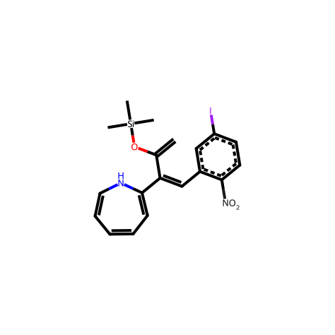 C=C(O[Si](C)(C)C)C(=Cc1cc(I)ccc1[N+](=O)[O-])C1=CC=CC=CN1